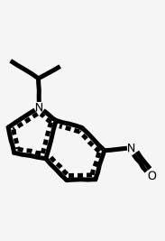 CC(C)n1ccc2ccc(N=O)cc21